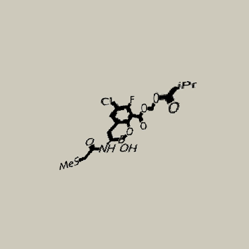 CSCC(=O)N[C@H]1Cc2cc(Cl)c(F)c(C(=O)OCOC(=O)C(C)C)c2OB1O